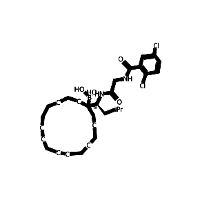 CC(C)C[C@H](NC(=O)CNC(=O)c1cc(Cl)ccc1Cl)C1(B(O)O)CCCCCCCCCCCCCCC1